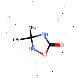 CCCC1(C(C)(C)C)NOC(=O)N1